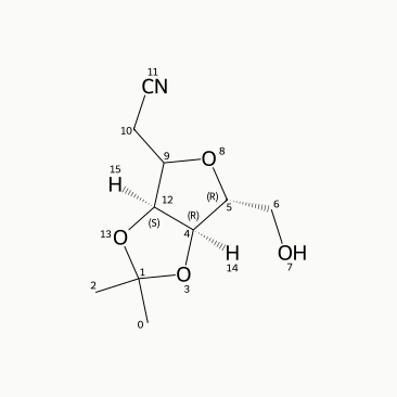 CC1(C)O[C@@H]2[C@@H](CO)OC(CC#N)[C@@H]2O1